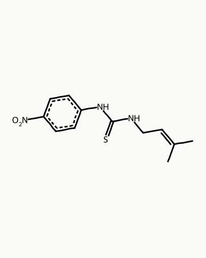 CC(C)=CCNC(=S)Nc1ccc([N+](=O)[O-])cc1